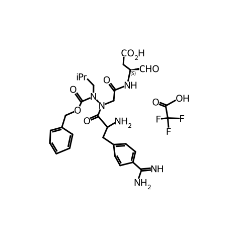 CC(C)CN(C(=O)OCc1ccccc1)N(CC(=O)N[C@H](C=O)CC(=O)O)C(=O)C(N)Cc1ccc(C(=N)N)cc1.O=C(O)C(F)(F)F